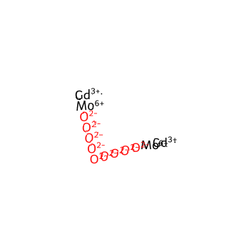 [Gd+3].[Gd+3].[Mo+6].[Mo+6].[O-2].[O-2].[O-2].[O-2].[O-2].[O-2].[O-2].[O-2].[O-2]